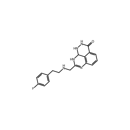 O=C1NNC2NC(CNCCc3ccc(F)cc3)=Nc3cccc1c32